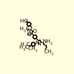 C=C/C=C\C=C(/N)c1cc(-c2ccc(C(=O)C(=O)[C@H](Cc3ccc(O)cc3)NC)cc2)n(-c2ccc(C(C)(C)C)cc2)n1